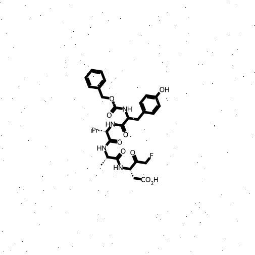 CC(C)[C@H](NC(=O)C(Cc1ccc(O)cc1)NC(=O)OCc1ccccc1)C(=O)N[C@@H](C)C(=O)N[C@@H](CC(=O)O)C(=O)CF